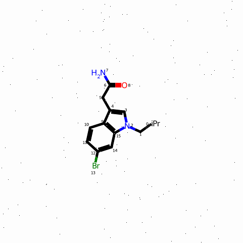 CC(C)Cn1cc(CC(N)=O)c2ccc(Br)cc21